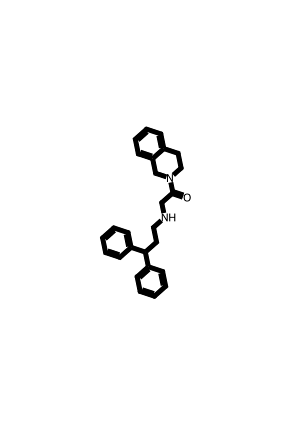 O=C(CNCCC(c1ccccc1)c1ccccc1)N1CCc2ccccc2C1